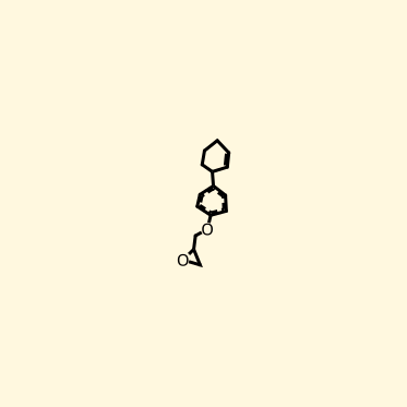 C1=CC(c2ccc(OCC3CO3)cc2)CCC1